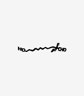 O=CC(F)(F)CCCCCCCCCCO